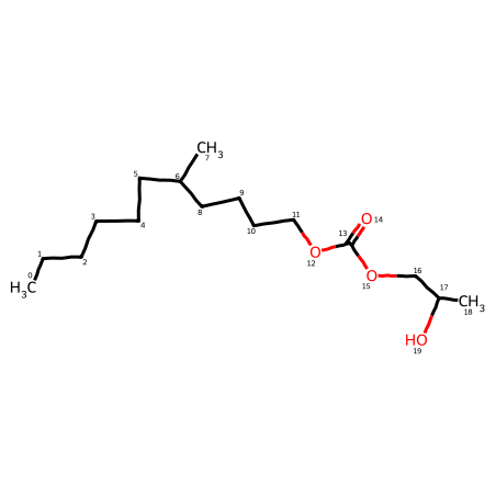 CCCCCCC(C)CCCCOC(=O)OCC(C)O